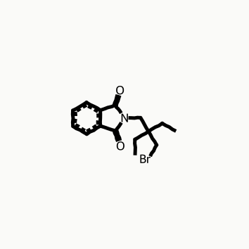 CCC(CC)(CBr)CN1C(=O)c2ccccc2C1=O